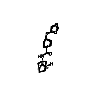 O=C(N[C@@H]1C[C@@H]2CCN(C2)C1)c1ccc(Sc2cnco2)cc1